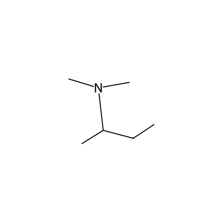 CCC(C)N(C)C